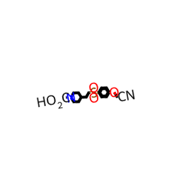 N#CCOc1ccc(S(=O)(=O)CCC2CCN(C(=O)O)CC2)cc1